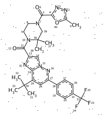 Cc1nnc(C(=O)N2CCN(C(=O)c3cn4nc(-c5ccc(C(F)(F)F)cc5)cc(C(C)(C)C)c4n3)C(C)(C)C2)o1